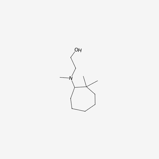 CN(CCO)C1CCCCCC1(C)C